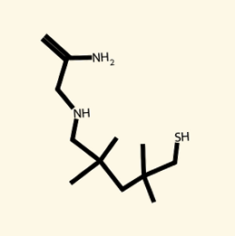 C=C(N)CNCC(C)(C)CC(C)(C)CS